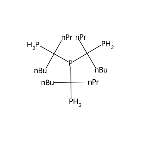 CCCCC(P)(CCC)P(C(P)(CCC)CCCC)C(P)(CCC)CCCC